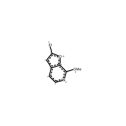 CCc1cc2ccnc(OC)c2o1